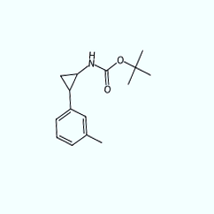 Cc1cccc(C2CC2NC(=O)OC(C)(C)C)c1